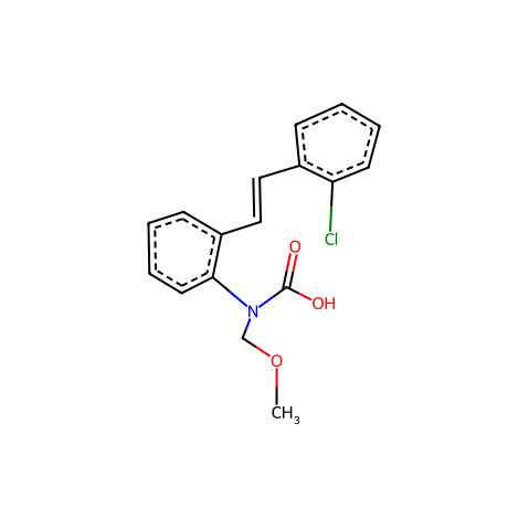 COCN(C(=O)O)c1ccccc1C=Cc1ccccc1Cl